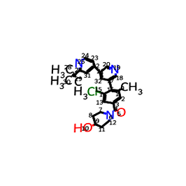 Cc1cc(C(=O)N2CCC(O)CC2)cc(Cl)c1-c1cncc(-c2ccnc(C(C)(C)C)c2)c1